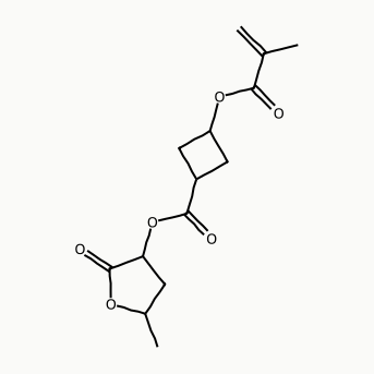 C=C(C)C(=O)OC1CC(C(=O)OC2CC(C)OC2=O)C1